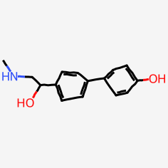 CNCC(O)c1ccc(-c2ccc(O)cc2)cc1